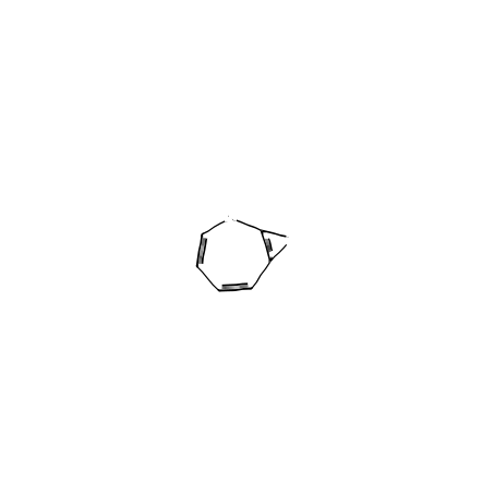 c1ccc2oc=2[nH]c1